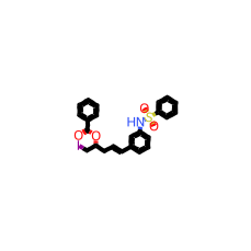 O=C(OC(CI)C/C=C/c1cccc(NS(=O)(=O)c2ccccc2)c1)c1ccccc1